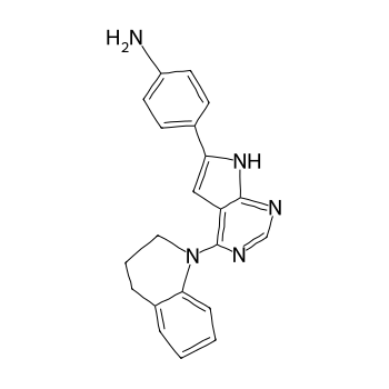 Nc1ccc(-c2cc3c(N4CCCc5ccccc54)ncnc3[nH]2)cc1